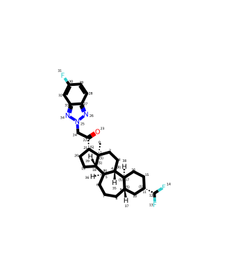 C[C@]12CC[C@H]3[C@@H](CCC[C@H]4C[C@@H](C(F)F)CC[C@@H]43)[C@@H]1CC[C@@H]2C(=O)Cn1nc2ccc(F)cc2n1